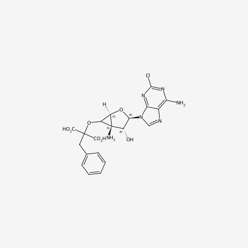 Nc1nc(Cl)nc2c1ncn2[C@@H]1O[C@@H]2C(OC(Cc3ccccc3)(C(=O)O)C(=O)O)[C@@]2(N)[C@H]1O